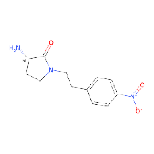 N[C@H]1CCN(CCc2ccc([N+](=O)[O-])cc2)C1=O